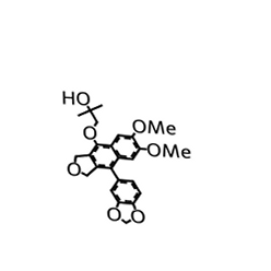 COc1cc2c(OCC(C)(C)O)c3c(c(-c4ccc5c(c4)OCO5)c2cc1OC)COC3